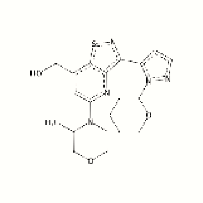 CC1COCCN1c1cc(CO)c2snc(-c3ccnn3C3CCCCO3)c2n1